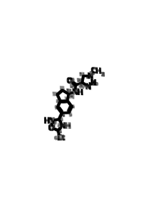 CCC1NC(c2ccc3c(c2)CC[C@H]3NC(=O)[C@H]2CN(C)N=N2)NO1